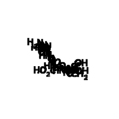 C=C1C(O)[C@@H](CO)O[C@H]1n1ccc(NC(=O)CC[C@H](NC(=O)c2ccc(NCc3cnc4nc(N)[nH]c(=O)c4n3)cc2)C(=O)O)nc1=O